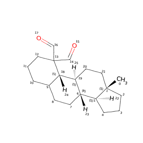 C[C@@]12CCC[C@H]1[C@@H]1CCC3CCCC(C=O)(C=O)[C@@H]3[C@H]1CC2